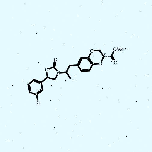 COC(=O)[C@H]1COc2cc(CC(C)N3CC(c4cccc(Cl)c4)OC3=O)ccc2O1